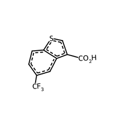 O=C(O)c1csc2ccc(C(F)(F)F)cc12